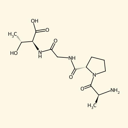 C[C@H](N)C(=O)N1CCC[C@H]1C(=O)NCC(=O)N[C@H](C(=O)O)[C@@H](C)O